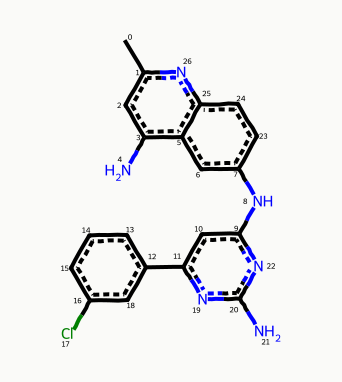 Cc1cc(N)c2cc(Nc3cc(-c4cccc(Cl)c4)nc(N)n3)ccc2n1